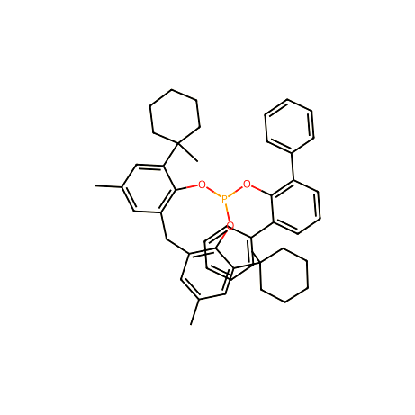 Cc1cc2c(c(C3(C)CCCCC3)c1)OP(Oc1c(-c3ccccc3)cccc1-c1ccccc1)Oc1c(cc(C)cc1C1(C)CCCCC1)C2